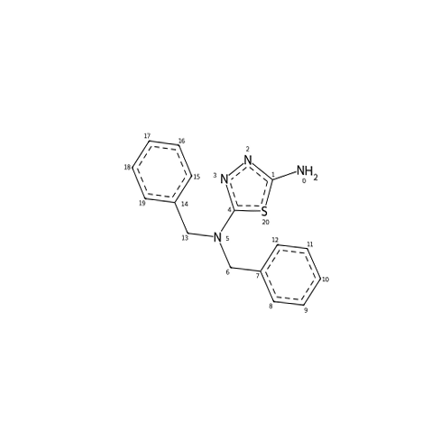 Nc1nnc(N(Cc2ccccc2)Cc2ccccc2)s1